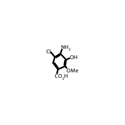 COc1c(C(=O)O)cc(Cl)c(N)c1O